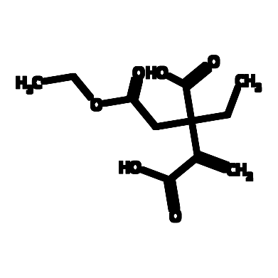 C=C(C(=O)O)C(CC)(CC(=O)OCC)C(=O)O